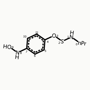 CCCNSOc1ccc(NO)cc1